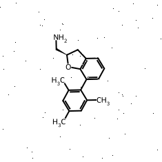 Cc1cc(C)c(-c2cccc3c2O[C@@H](CN)C3)c(C)c1